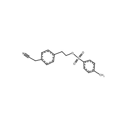 Cc1ccc(S(=O)(=O)OCCc2ccc(CC#N)cc2)cc1